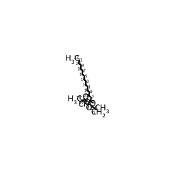 C=C(C)C(=O)OC(CCCCCCCCCCCCCCCC)OC(=O)C(=C)C